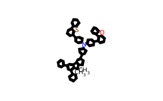 CC1(C)c2ccc(-c3ccc(N(c4ccc(-c5cccc6c5sc5ccccc56)cc4)c4ccc(-c5cccc6oc7ccccc7c56)cc4)cc3)cc2-c2cc(-c3ccccc3)cc(-c3ccccc3)c21